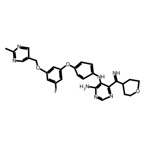 Cc1ncc(COc2cc(F)cc(Oc3ccc(Nc4c(N)ncnc4C(=N)C4CCOCC4)cc3)c2)cn1